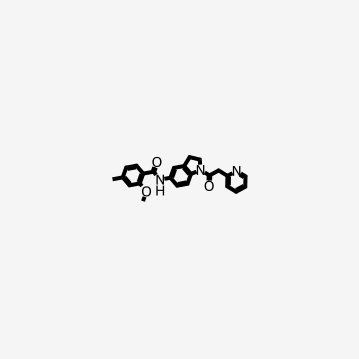 COc1cc(C)ccc1C(=O)Nc1ccc2c(c1)CCN2C(=O)Cc1ccccn1